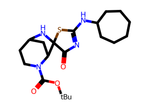 CC(C)(C)OC(=O)N1CCC2CC1C1(N2)SC(NC2CCCCCC2)=NC1=O